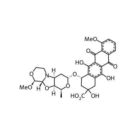 COc1cccc2c1C(=O)c1c(O)c3c(c(O)c1C2=O)CC(O)(C(=O)O)C[C@@H]3O[C@H]1C[C@H]2[C@H](O[C@@H]3[C@@H](OC)OCCN32)[C@H](C)O1